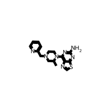 CC1CN(Cc2ccccn2)CCN1c1nc(N)nc2scnc12